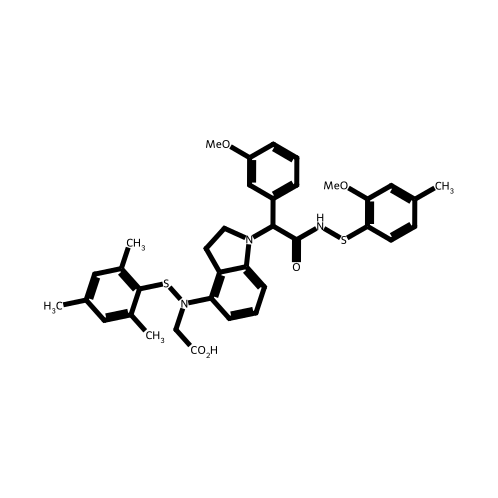 COc1cccc(C(C(=O)NSc2ccc(C)cc2OC)N2CCc3c(N(CC(=O)O)Sc4c(C)cc(C)cc4C)cccc32)c1